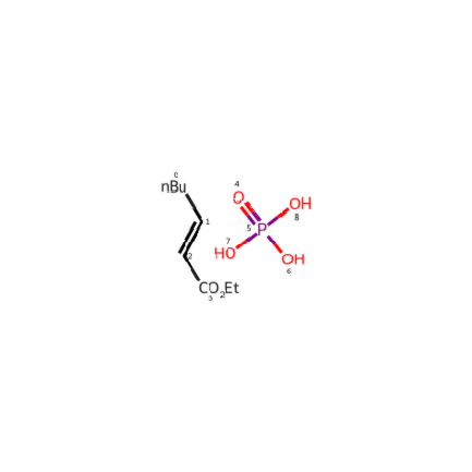 CCCC/C=C/C(=O)OCC.O=P(O)(O)O